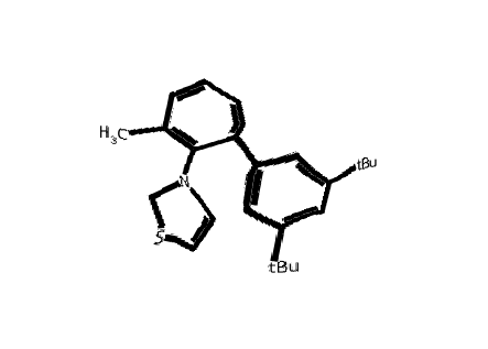 Cc1cccc(-c2cc(C(C)(C)C)cc(C(C)(C)C)c2)c1N1C=CSC1